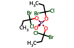 CCC(Cl)(Br)OP(=O)(OC(Cl)(Br)CC)OC(Cl)(Br)CC